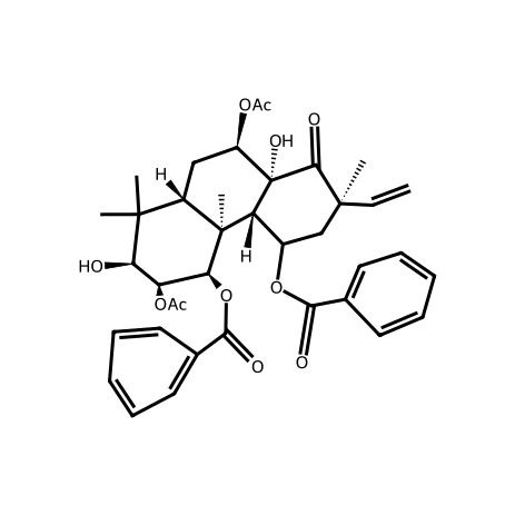 C=C[C@@]1(C)CC(OC(=O)c2ccccc2)[C@H]2[C@](O)(C1=O)[C@H](OC(C)=O)C[C@H]1C(C)(C)[C@H](O)[C@H](OC(C)=O)[C@H](OC(=O)c3ccccc3)[C@@]12C